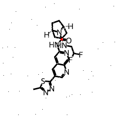 Cc1nnc(-c2cnc3cnc(NC(=O)N4[C@@H]5CC[C@H]4C[C@H](NCC(F)F)C5)cc3c2)s1